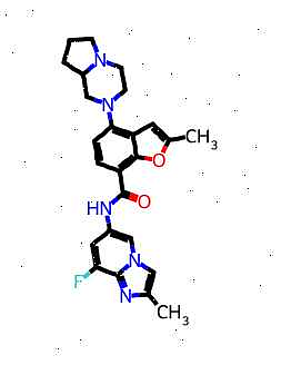 Cc1cn2cc(NC(=O)c3ccc(N4CCN5CCCC5C4)c4cc(C)oc34)cc(F)c2n1